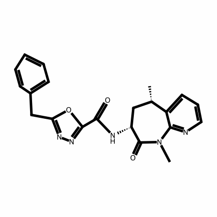 C[C@H]1C[C@@H](NC(=O)c2nnc(Cc3ccccc3)o2)C(=O)N(C)c2ncccc21